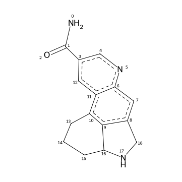 NC(=O)c1cnc2cc3c4c(c2c1)CCCC4NC3